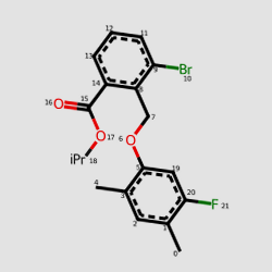 Cc1cc(C)c(OCc2c(Br)cccc2C(=O)OC(C)C)cc1F